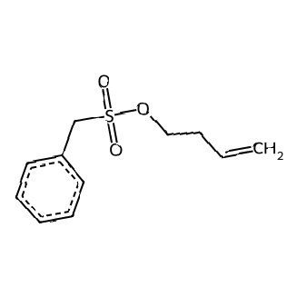 C=CCCOS(=O)(=O)Cc1ccccc1